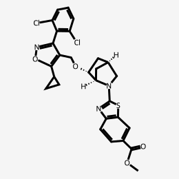 COC(=O)c1ccc2nc(N3C[C@H]4C[C@@H]3[C@H](OCc3c(-c5c(Cl)cccc5Cl)noc3C3CC3)C4)sc2c1